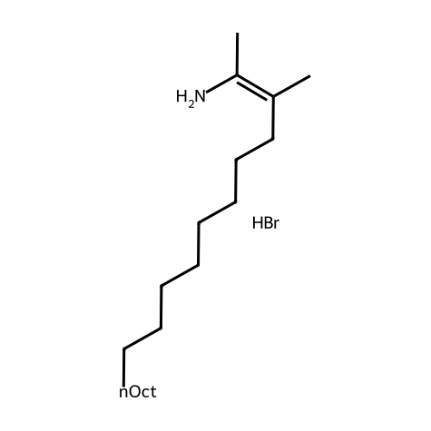 Br.CCCCCCCCCCCCCCCCC(C)=C(C)N